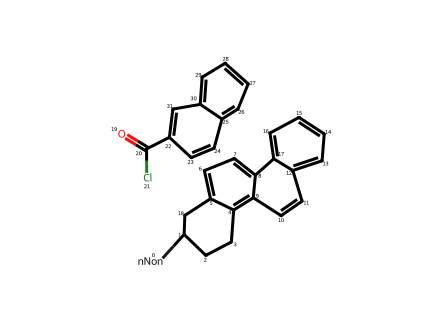 CCCCCCCCCC1CCc2c(ccc3c2ccc2ccccc23)C1.O=C(Cl)c1ccc2ccccc2c1